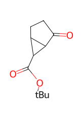 CC(C)(C)OC(=O)C1C2CCC(=O)C21